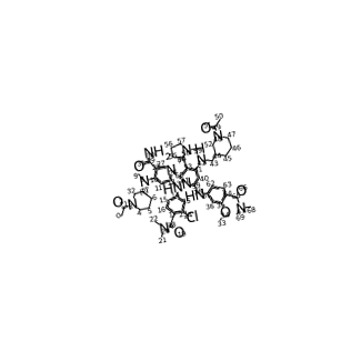 CC(=O)N1CCC[C@@H](N(C)c2cc(Nc3ccc(C(=O)N(C)C)c(Cl)c3)ncc2C(N)=O)C1.COc1cc(Nc2cc(NCC3CCCN(C(C)=O)C3)c([C@H]3CCCN3C)cn2)ccc1C(=O)N(C)C